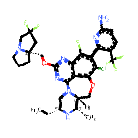 CC[C@@H]1CN2c3nc(OC[C@]45CCCN4CC(F)(F)C5)nc4c(F)c(-c5nc(N)ccc5C(F)(F)F)c(Cl)c(c34)OC[C@@H]2[C@H](C)N1